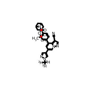 [2H]C([2H])([2H])n1cc(-c2cc(-c3ccc(N4CC5CC(C4)N5C(=O)OC(C)(C)C)nc3)c3c(C#N)cnn3c2)cn1